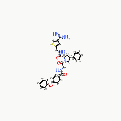 N=C(N)c1csc(CNC(=O)[C@@H]2C[C@H](c3ccccc3)CN2C(=O)CNC(=O)c2ccc(Oc3ccccc3)cc2)c1